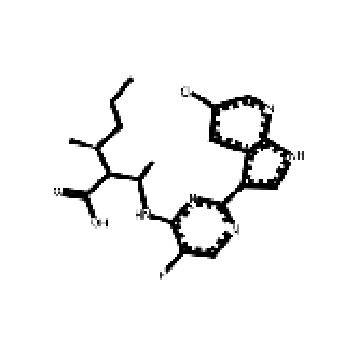 CCC[C@H](C)C(C(=O)O)C(C)Nc1nc(-c2c[nH]c3ncc(Cl)cc23)ncc1F